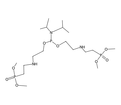 COP(=O)(CCNCCOP(OCCNCCP(=O)(OC)OC)N(C(C)C)C(C)C)OC